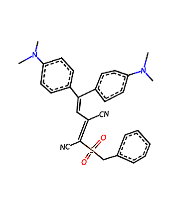 CN(C)c1ccc(C(=C/C(C#N)=C(\C#N)S(=O)(=O)Cc2ccccc2)c2ccc(N(C)C)cc2)cc1